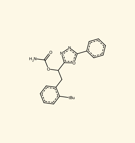 CC(C)(C)c1ccccc1CC(OC(N)=O)c1nnc(-c2ccccc2)o1